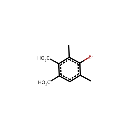 Cc1cc(C(=O)O)c(C(=O)O)c(C)c1Br